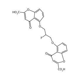 O=C(O)c1cc(=O)c2c(OCC(F)COc3cccc4oc(C(=O)O)cc(=O)c34)cccc2o1